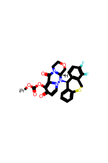 CC(C)OC(=O)Oc1c2n(ccc1=O)N([C@@H]1c3ccccc3SCc3c1ccc(F)c3F)[C@@H]1COCCN1C2=O